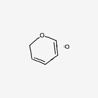 C1=CCOC=C1.[O]